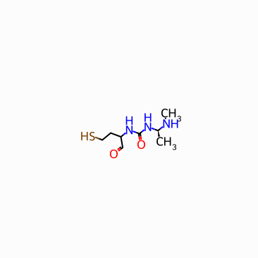 CN[C@@H](C)NC(=O)NC(C=O)CCS